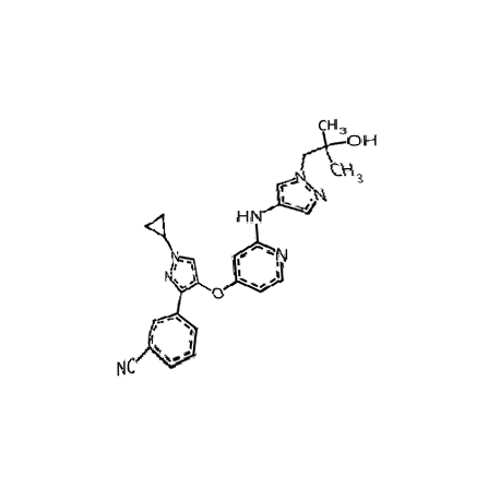 CC(C)(O)Cn1cc(Nc2cc(Oc3cn(C4CC4)nc3-c3cccc(C#N)c3)ccn2)cn1